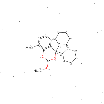 COc1cccc2c1OC(OC(=O)O)OC2(C1CCCCC1)C1CCCCC1